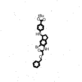 CC(C)(C)OC(=O)c1ccc(NC2CCc3cc(NC(=O)COCc4ccccc4)c(Br)cc32)cc1